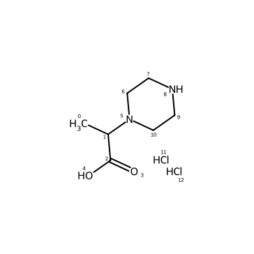 CC(C(=O)O)N1CCNCC1.Cl.Cl